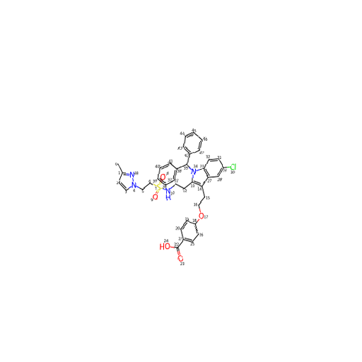 Cc1ccn(CCS(=O)(=O)NCCc2c(CCOc3ccc(C(=O)O)cc3)c3cc(Cl)ccc3n2C(c2ccccc2)c2ccccc2)n1